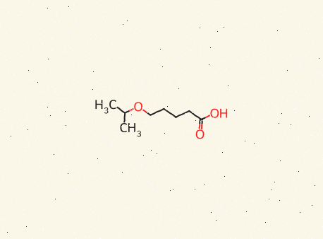 CC(C)OCCCCC(=O)O